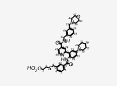 O=C(O)CCSCc1cccc(C(=O)Nc2ccc(N3CCCCC3)cc2-c2cc(C(=O)NCc3cccc(CN4CCOCC4)c3)ccn2)c1